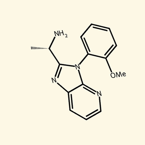 COc1ccccc1-n1c([C@H](C)N)nc2cccnc21